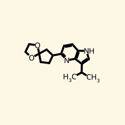 CC(C)c1c[nH]c2ccc(C3CCC4(C3)OCCO4)nc12